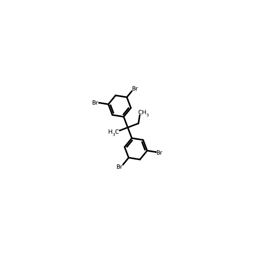 CCC(C)(C1=CC(Br)CC(Br)=C1)C1=CC(Br)CC(Br)=C1